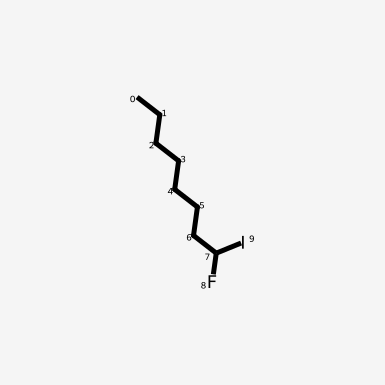 CCCCCCCC(F)I